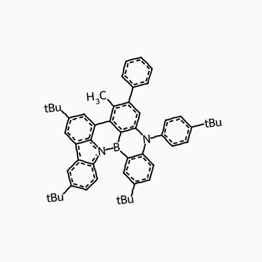 Cc1c(-c2ccccc2)cc2c3c1-c1cc(C(C)(C)C)cc4c5cc(C(C)(C)C)ccc5n(c14)B3c1cc(C(C)(C)C)ccc1N2c1ccc(C(C)(C)C)cc1